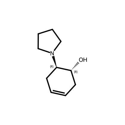 O[C@@H]1CC=CC[C@H]1N1CCCC1